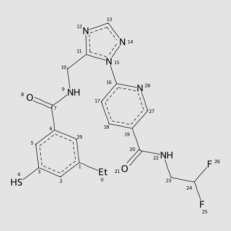 CCc1cc(S)cc(C(=O)NCc2ncnn2-c2ccc(C(=O)NCC(F)F)cn2)c1